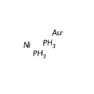 P.P.[Au].[Ni]